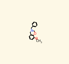 COc1cccc2c1OCN(Cc1ccccc1)C2